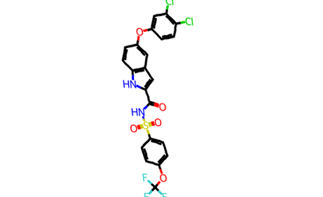 O=C(NS(=O)(=O)c1ccc(OC(F)(F)F)cc1)c1cc2cc(Oc3ccc(Cl)c(Cl)c3)ccc2[nH]1